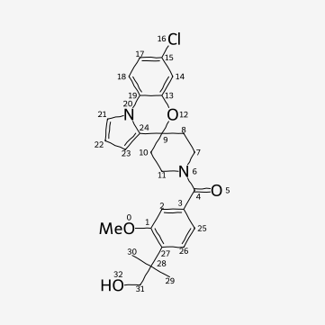 COc1cc(C(=O)N2CCC3(CC2)Oc2cc(Cl)ccc2-n2cccc23)ccc1C(C)(C)CO